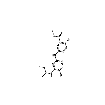 CCC(C)Nc1nc(Nc2ccc(Br)c(C(=O)OC)c2)ncc1F